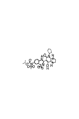 CC(C)OC(=O)N(c1ccc2c(c1)S(=O)(=O)N=C(C1=C(O)C3C([C@@H]4CC[C@H]3C4)N(C3CCCC3)C1=O)N2)S(C)(=O)=O